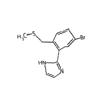 CSCc1ccc(Br)cc1-c1ncc[nH]1